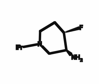 CC(C)N1CC[C@H](F)[C@@H](N)C1